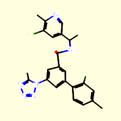 Cc1ccc(-c2cc(C(=O)NC(C)c3cnc(C)c(Cl)c3)cc(-n3nnnc3C(C)C)c2)c(F)c1